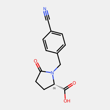 N#Cc1ccc(CN2C(=O)CC[C@H]2C(=O)O)cc1